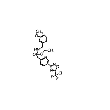 CCOP(=O)(Cc1ccc(-c2noc(C(F)(F)Cl)n2)cn1)NCc1cccc(OC)c1